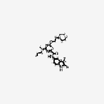 CCCN(C)c1nc(OCCN2CCOCC2)nc(C(=O)Nc2ccc3[nH]c(C)c(C)c3c2)n1